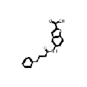 O=C(CCCc1ccccc1)Nc1ccc2sc(C(=O)O)cc2c1